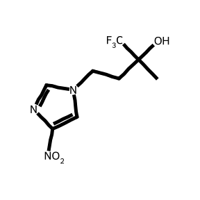 CC(O)(CCn1cnc([N+](=O)[O-])c1)C(F)(F)F